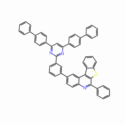 c1ccc(-c2ccc(-c3cc(-c4ccc(-c5ccccc5)cc4)nc(-c4cccc(-c5ccc6nc(-c7ccccc7)c7sc8ccccc8c7c6c5)c4)n3)cc2)cc1